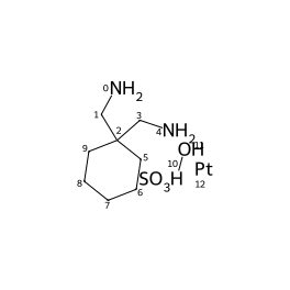 NCC1(CN)CCCCC1.O=S(=O)(O)O.[Pt]